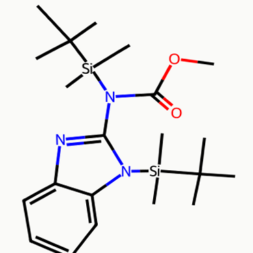 COC(=O)N(c1nc2ccccc2n1[Si](C)(C)C(C)(C)C)[Si](C)(C)C(C)(C)C